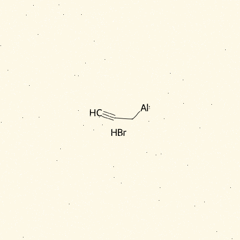 Br.C#C[CH2][Al]